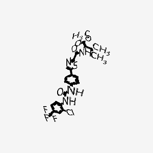 COC(=O)C(NC(=O)c1ncc(-c2ccc(NC(=O)Nc3ccc(C(F)(F)F)cc3Cl)cc2)s1)C(C)C